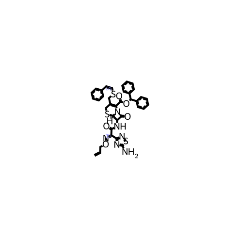 C=CCO/N=C(/C(=O)NC1C(=O)N2C(C(=O)OC(c3ccccc3)c3ccccc3)=C(CS/C=C\c3ccccc3)CS[C@H]12)c1nsc(N)n1